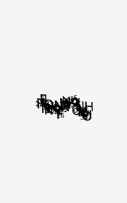 O=C(Nc1cccc(-c2cn(Cc3ncc(-c4nnc(C(F)F)o4)cc3F)nn2)c1)N1CCOCC1